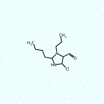 CCCCC1NC(Cl)C(C=O)N1CCC